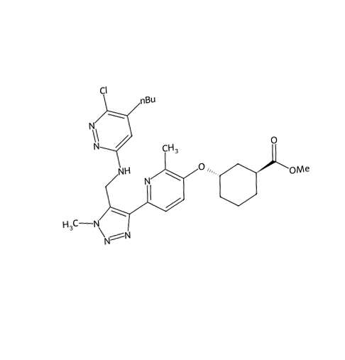 CCCCc1cc(NCc2c(-c3ccc(O[C@H]4CCC[C@H](C(=O)OC)C4)c(C)n3)nnn2C)nnc1Cl